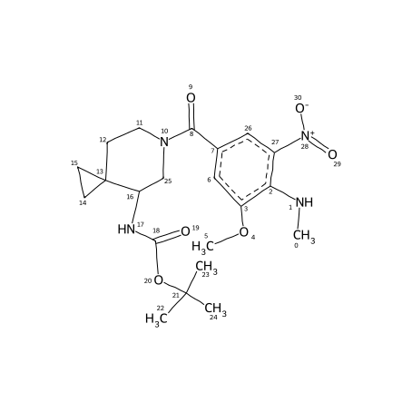 CNc1c(OC)cc(C(=O)N2CCC3(CC3)C(NC(=O)OC(C)(C)C)C2)cc1[N+](=O)[O-]